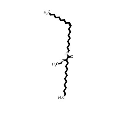 CCCCCCCC/C=C\CCCCCCCCOC(=O)C(CCCCCCCCCCCC)OCC